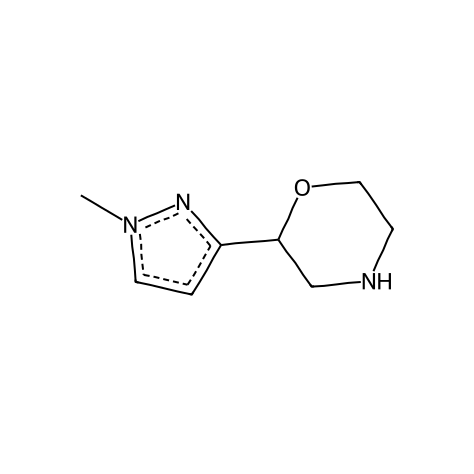 Cn1ccc(C2CNCCO2)n1